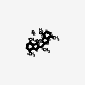 Cc1ccc(C)c2c1C=C1[CH]2[Zr+2][CH]2C(=Cc3c(C)ccc(C)c32)P1C.[F-].[F-]